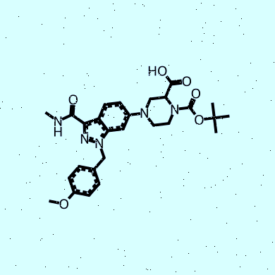 CNC(=O)c1nn(Cc2ccc(OC)cc2)c2cc(N3CCN(C(=O)OC(C)(C)C)C(C(=O)O)C3)ccc12